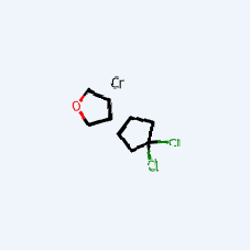 C1CCOC1.ClC1(Cl)CCCC1.[Cr]